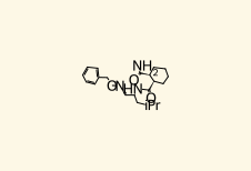 CC(C)CC(C=NOCc1ccccc1)NC(=O)[C@@H]1CCCC[C@@H]1C(N)=O